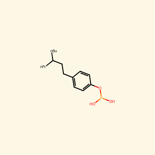 CCCCC(CCC)CCc1ccc(OP(O)O)cc1